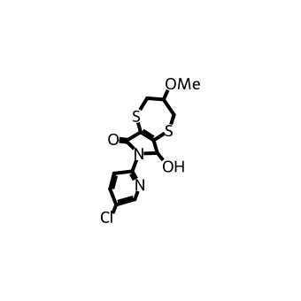 COC1CSC2=C(SC1)C(O)N(c1ccc(Cl)cn1)C2=O